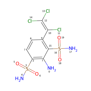 Nc1c(S(N)(=O)=O)ccc(C(Cl)=C(Cl)Cl)c1S(N)(=O)=O